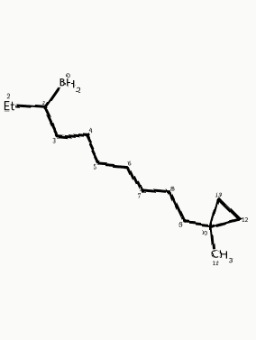 BC(CC)CCCCCCCC1(C)CC1